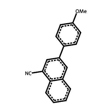 COc1ccc(-c2cc(C#N)c3ccccc3c2)cc1